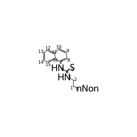 CCCCCCCCCCCNC(=S)Nc1cccc2ccccc12